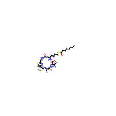 CCCCCCCC(=O)SCC/C=C/C1CC(=O)NCc2nc(cs2)/C(SC)=N/C(C)C(=O)NC(C(C)C)C(=O)N1